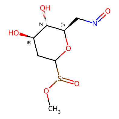 COS(=O)C1C[C@@H](O)[C@H](O)[C@@H](CN=O)O1